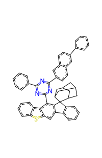 c1ccc(-c2ccc3cc(-c4nc(-c5ccccc5)nc(-c5c6c(cc7sc8ccccc8c57)-c5ccccc5C65C6CC7CC(C6)CC5C7)n4)ccc3c2)cc1